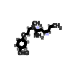 C=C/C=C\C=C(/N)N(C)CCOc1ccc(C=O)cc1